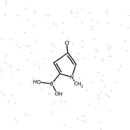 Cn1cc(Cl)cc1B(O)O